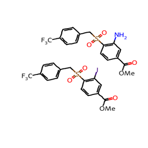 COC(=O)c1ccc(S(=O)(=O)Cc2ccc(C(F)(F)F)cc2)c(I)c1.COC(=O)c1ccc(S(=O)(=O)Cc2ccc(C(F)(F)F)cc2)c(N)c1